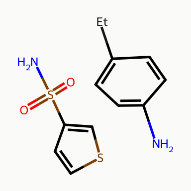 CCc1ccc(N)cc1.NS(=O)(=O)c1ccsc1